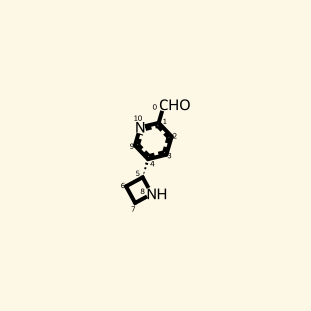 O=Cc1ccc([C@H]2CCN2)cn1